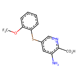 Nc1cc(Sc2ccccc2OC(F)(F)F)cnc1C(=O)O